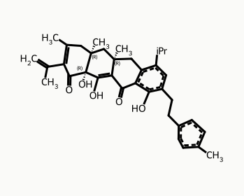 C=C(C)C1=C(C)C[C@@]2(C)C[C@@]3(C)Cc4c(C(C)C)cc(CCc5ccc(C)cc5)c(O)c4C(=O)C3=C(O)[C@@]2(O)C1=O